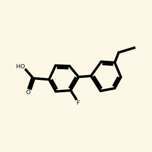 CCc1cccc(-c2ccc(C(=O)O)cc2F)c1